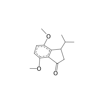 COc1ccc(OC)c2c1C(=O)CC2C(C)C